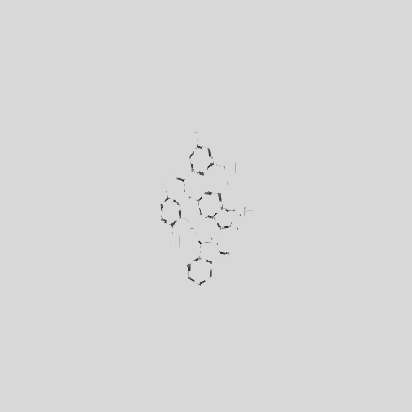 O=C(Nc1cc(Cl)c2[nH]nc(N3C(=O)c4ccccc4C3=O)c2c1Oc1cc(F)ccc1Cl)c1cc(F)cc(C(F)(F)F)c1